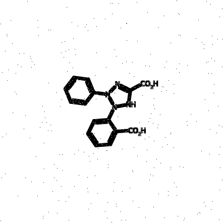 O=C(O)C1=NN(c2ccccc2)N(c2ccccc2C(=O)O)N1